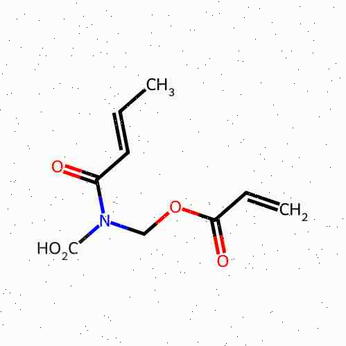 C=CC(=O)OCN(C(=O)O)C(=O)C=CC